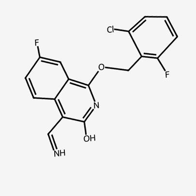 N=Cc1c(O)nc(OCc2c(F)cccc2Cl)c2cc(F)ccc12